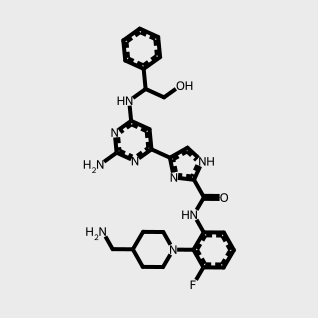 NCC1CCN(c2c(F)cccc2NC(=O)c2nc(-c3cc(NC(CO)c4ccccc4)nc(N)n3)c[nH]2)CC1